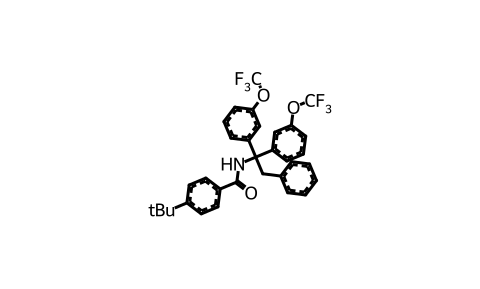 CC(C)(C)c1ccc(C(=O)NC(Cc2ccccc2)(c2cccc(OC(F)(F)F)c2)c2cccc(OC(F)(F)F)c2)cc1